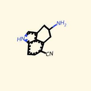 N#Cc1ccc2[nH]cc3c2c1CC(N)C3